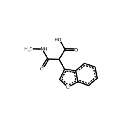 CNC(=O)C(C(=O)O)c1coc2ccccc12